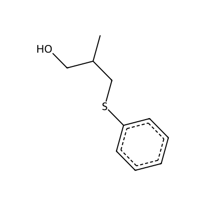 CC(CO)CSc1ccccc1